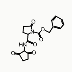 O=C1CCC(=O)C1NC(=O)C1CCC(=O)N1C(=O)OCc1ccccc1